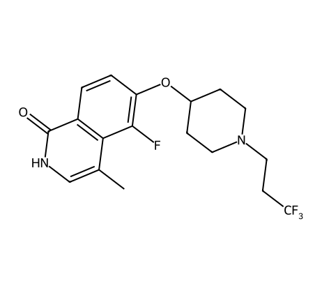 Cc1c[nH]c(=O)c2ccc(OC3CCN(CCC(F)(F)F)CC3)c(F)c12